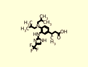 CC(C)CN(CC(C)C)c1ccc([C@H](C)CC(=O)O)cc1Nc1nc(C(F)(F)F)c[nH]1